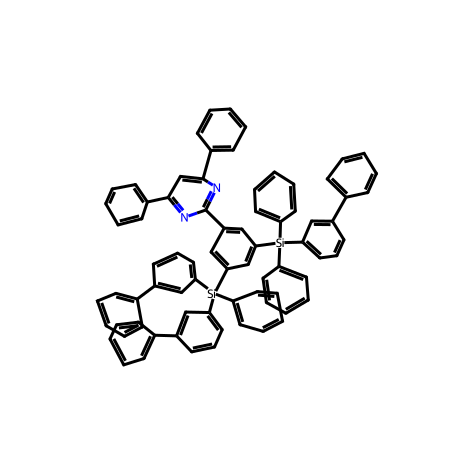 c1ccc(-c2cccc([Si](c3ccccc3)(c3ccccc3)c3cc(-c4nc(-c5ccccc5)cc(-c5ccccc5)n4)cc([Si](c4ccccc4)(c4cccc(-c5ccccc5)c4)c4cccc(-c5ccccc5)c4)c3)c2)cc1